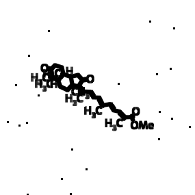 COC(=O)/C(C)=C/C=C/C(C)=C/C=C/C(C)=C1\C(=O)C[C@@H]2[C@@]3(C)CCC(=O)C(C)(C)[C@@H]3CC[C@@]12C